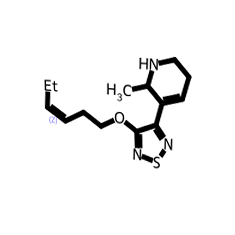 CC/C=C\CCOc1nsnc1C1=CCCNC1C